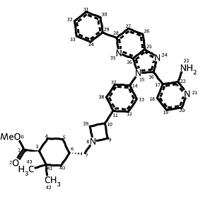 COC(=O)[C@H]1CC[C@H](CN2CC(c3ccc(-n4c(-c5cccnc5N)nc5ccc(-c6ccccc6)nc54)cc3)C2)CC1(C)C